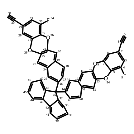 C#Cc1cc(F)c2c(c1)Oc1cc3cc(C4(c5ccc6cc7c(cc6c5)Oc5cc(C#C)cc(F)c5O7)c5ccccc5-c5ccccc54)ccc3cc1O2